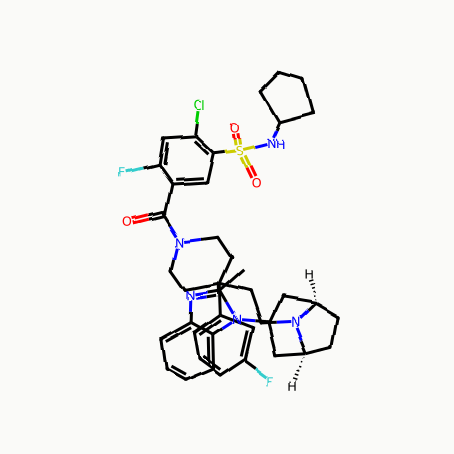 Cc1nc2ccccc2n1C1C[C@H]2CC[C@@H](C1)N2CCC1(c2cccc(F)c2)CCN(C(=O)c2cc(S(=O)(=O)NC3CCCC3)c(Cl)cc2F)CC1